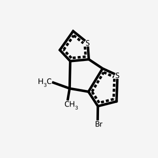 CC1(C)c2ccsc2-c2scc(Br)c21